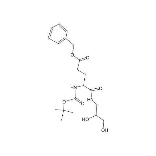 CC(C)(C)OC(=O)NC(CCC(=O)OCc1ccccc1)C(=O)NCC(O)CO